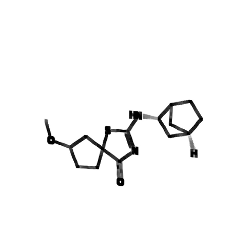 COC1CCC2(C1)SC(N[C@H]1C[C@@H]3CCC1C3)=NC2=O